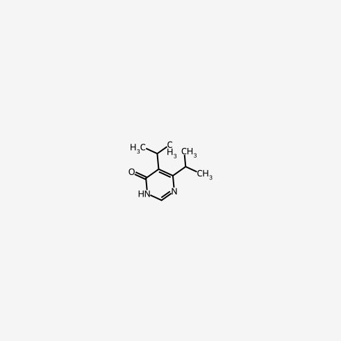 CC(C)c1nc[nH]c(=O)c1C(C)C